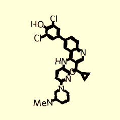 CNC1CCCN(c2ccc(Nc3c(C(=O)C4CC4)cnc4ccc(-c5cc(Cl)c(O)c(Cl)c5)cc34)cn2)C1